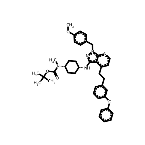 COc1ccc(Cn2nc(N[C@H]3CC[C@@H](N(C)C(=O)OC(C)(C)C)CC3)c3c(CCc4cccc(Oc5ccccc5)c4)ccnc32)cc1